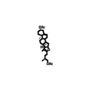 CC(=O)OC[C@@H](C)CCC1=C(C)[C@H]2C(CC3C4CC=C5C[C@@H](OC(C)=O)CC[C@]5(C)C4CC[C@@]32C)O1